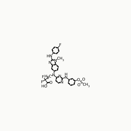 CN(c1ccc2c(c1)nc(Nc1ccc(F)cc1)n2C)c1ccnc(Nc2cccc(OS(C)(=O)=O)c2)n1.O=C(O)C(F)(F)F